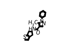 Cc1c(C(=O)NC2Cc3ccsc3C2)cnn1-c1ccccc1